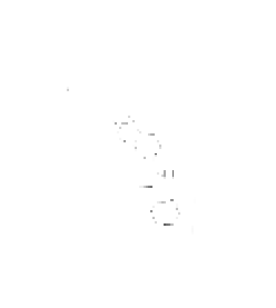 CC(F)(F)c1cccc(C(=O)Nc2ccc3nn(C4CCC(C=O)CC4)cc3c2)n1